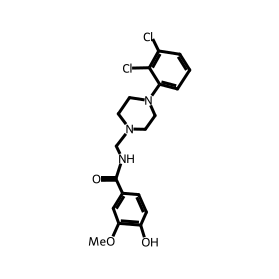 COc1cc(C(=O)NCN2CCN(c3cccc(Cl)c3Cl)CC2)ccc1O